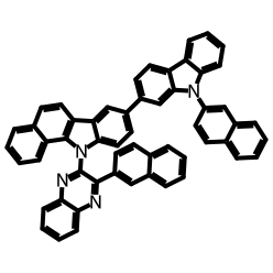 c1ccc2cc(-c3nc4ccccc4nc3-n3c4ccc(-c5ccc6c7ccccc7n(-c7ccc8ccccc8c7)c6c5)cc4c4ccc5ccccc5c43)ccc2c1